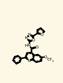 O=C(Nc1nnc(-c2ccco2)o1)c1cc(-c2ccccc2)nc2ccc(OC(F)(F)F)cc12